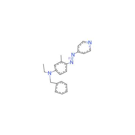 CCN(Cc1ccccc1)c1ccc(/N=N/c2ccncc2)c(C)c1